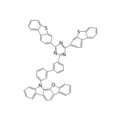 c1cc(-c2cccc(-n3c4ccccc4c4ccc5c6ccccc6oc5c43)c2)cc(-c2nc(-c3ccc4c(c3)sc3ccccc34)nc(-c3ccc4c(c3)sc3ccccc34)n2)c1